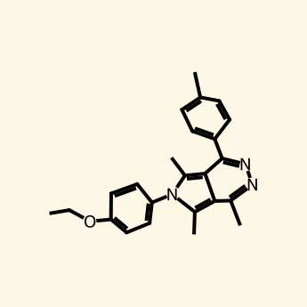 CCOc1ccc(-n2c(C)c3c(C)nnc(-c4ccc(C)cc4)c3c2C)cc1